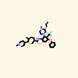 C=N/C=C\C(=C/C)C1=C(C)CCC(C(=P)Nc2ccc(Oc3ccccc3)c(C(F)(F)F)c2N2CCN(C)[C@H](CCC)C2)=CS1